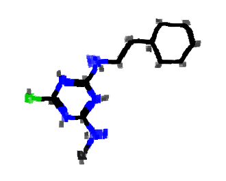 CCNc1nc(Cl)nc(NCCC2CCCCC2)n1